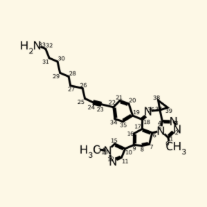 Cc1nnc2n1-c1ccc(-c3cnn(C)c3)cc1C(c1ccc(C#CCCCCCCCCN)cc1)=NC21CC1